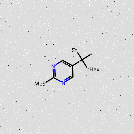 CCCCCCC(C)(CC)c1cnc(SC)nc1